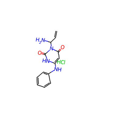 C=CC(N)n1c(=O)cc(Nc2ccccc2)[nH]c1=O.Cl